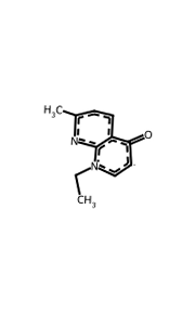 CCn1c[c]c(=O)c2ccc(C)nc21